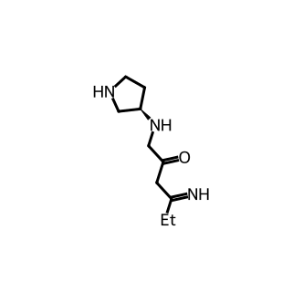 CCC(=N)CC(=O)CN[C@@H]1CCNC1